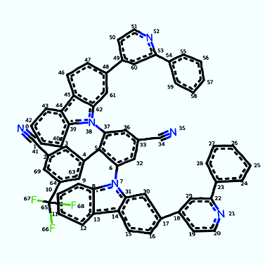 N#Cc1cc(-c2c(-n3c4ccccc4c4ccc(-c5ccnc(-c6ccccc6)c5)cc43)cc(C#N)cc2-n2c3ccccc3c3ccc(-c4ccnc(-c5ccccc5)c4)cc32)cc(C(F)(F)F)c1